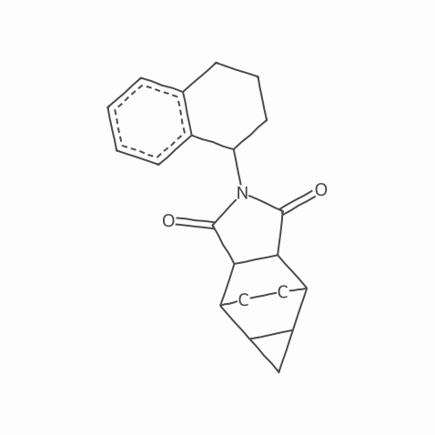 O=C1C2C3CCC(C4CC43)C2C(=O)N1C1CCCc2ccccc21